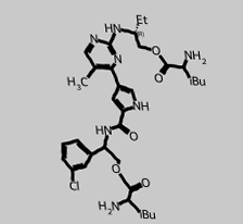 CCC(C)C(N)C(=O)OCC(NC(=O)c1cc(-c2nc(N[C@H](CC)COC(=O)C(N)C(C)CC)ncc2C)c[nH]1)c1cccc(Cl)c1